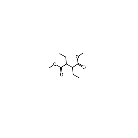 CC[C](C(=O)OC)C(CC)C(=O)OC